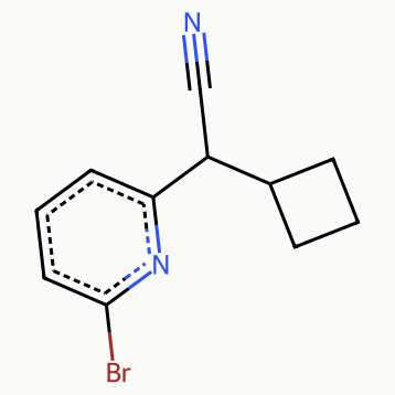 N#CC(c1cccc(Br)n1)C1CCC1